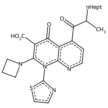 CCCCCCCC(C)C(=O)c1ccnc2c1c(=O)c(C(=O)O)c(N1CCC1)n2-c1nccs1